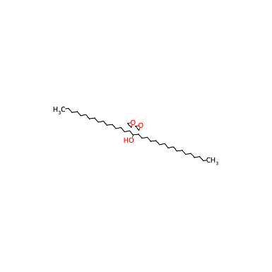 C1CO1.C1CO1.CCCCCCCCCCCCCCCCCC(O)CCCCCCCCCCCCCCCC